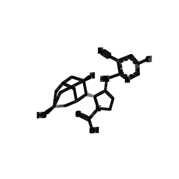 N#Cc1cc(Cl)cnc1NC1CCN(C(=O)O)[C@@H]1C1C2CC3C[C@H]1C[C@@](O)(C3)C2